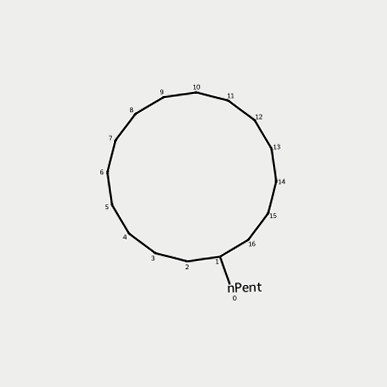 [CH2]CCCCC1CCCCCCCCCCCCCCC1